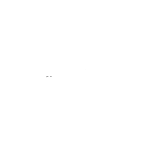 C[C@H](O)c1cccc(Oc2ccccc2)c1